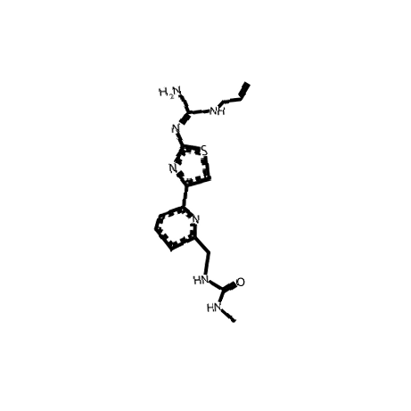 C=CCNC(N)=Nc1nc(-c2cccc(CNC(=O)NC)n2)cs1